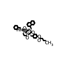 CCCCC(=O)Oc1ccc(C[C@H]2C(=O)N(Cc3cccc4ccccc34)C[C@@H]3N(C(=O)NCc4ccccc4)CCC(=O)N32)cc1